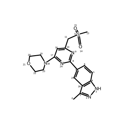 Cc1n[nH]c2ccc(-c3nc(CS(C)(=O)=O)cc(N4CCOCC4)n3)cc12